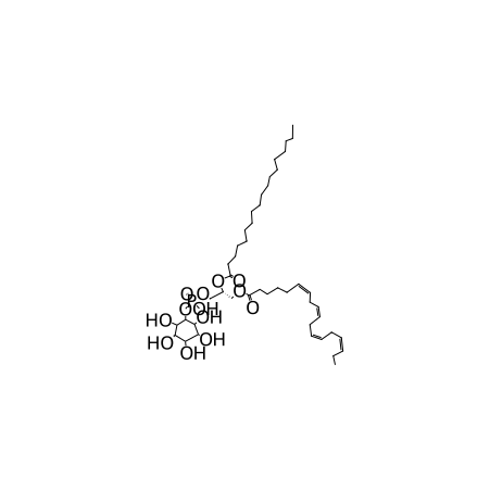 CC/C=C\C/C=C\C/C=C\C/C=C\CCCCC(=O)OC[C@H](COP(=O)(O)OC1C(O)C(O)C(O)[C@@H](O)C1O)OC(=O)CCCCCCCCCCCCCCCCC